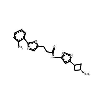 CC(=O)N[C@H]1C[C@@H](c2cc(NC(=O)CCc3cnc(-c4ccccc4C)o3)[nH]n2)C1